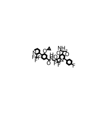 C[C@]1(C(N)=O)COc2c1cc(C(O)(CNC(=O)c1ccc(-c3cccnc3C(F)(F)F)c(OC3CC3)c1)C(F)(F)F)nc2-c1ccc(F)cc1